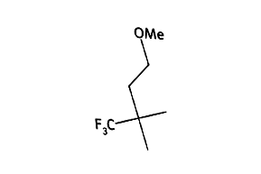 COCCC(C)(C)C(F)(F)F